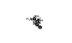 COc1cc(OC)cc(-c2nn(-c3cc(-c4cccnn4)ccc3C(F)(F)F)c(=O)c3c2CCN3)c1